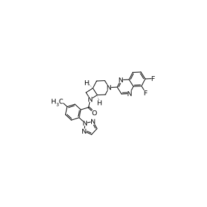 Cc1ccc(-n2nccn2)c(C(=O)N2C[C@H]3CCN(c4cnc5c(F)c(F)ccc5n4)C[C@H]32)c1